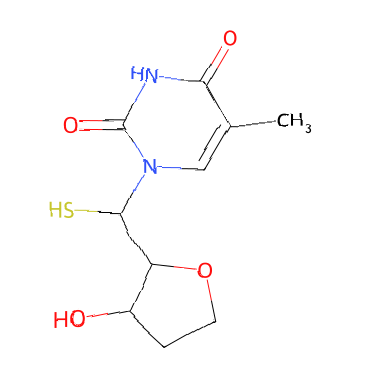 Cc1cn(C(S)C2OCCC2O)c(=O)[nH]c1=O